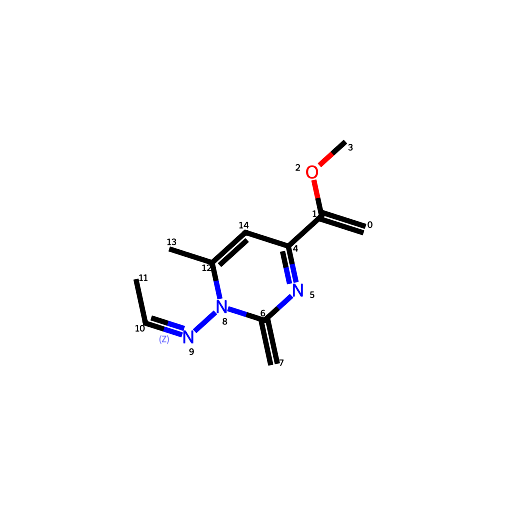 C=C(OC)C1=NC(=C)N(/N=C\C)C(C)=C1